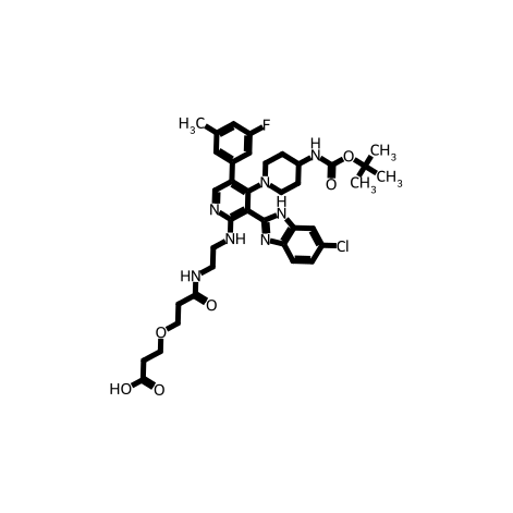 Cc1cc(F)cc(-c2cnc(NCCNC(=O)CCOCCC(=O)O)c(-c3nc4ccc(Cl)cc4[nH]3)c2N2CCC(NC(=O)OC(C)(C)C)CC2)c1